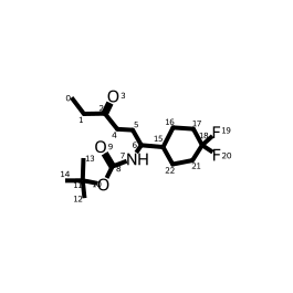 CCC(=O)CCC(NC(=O)OC(C)(C)C)C1CCC(F)(F)CC1